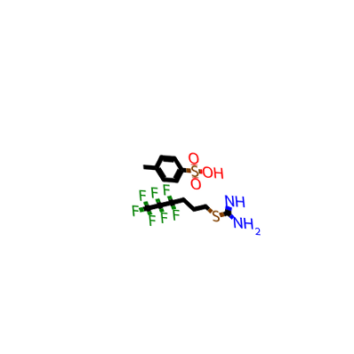 Cc1ccc(S(=O)(=O)O)cc1.N=C(N)SCCCC(F)(F)C(F)(F)C(F)(F)F